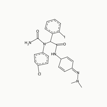 CN(C)N=C1C=CC(NC(=O)C(c2ccccc2I)N(C(N)=O)c2ccc(Cl)cc2)C=C1